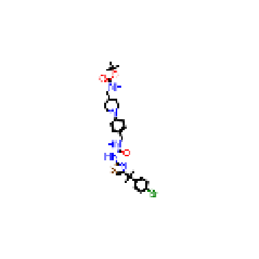 CC(C)(C)OC(=O)NCC1CCN(c2ccc(CNC(=O)Nc3nc(C(C)(C)c4ccc(Br)cc4)cs3)cc2)CC1